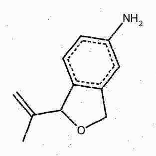 C=C(C)C1OCc2cc(N)ccc21